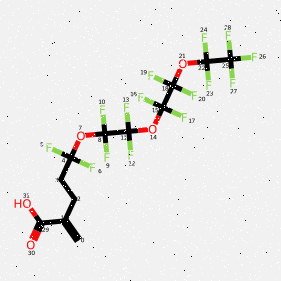 C=C(CCC(F)(F)OC(F)(F)C(F)(F)OC(F)(F)C(F)(F)OC(F)(F)C(F)(F)F)C(=O)O